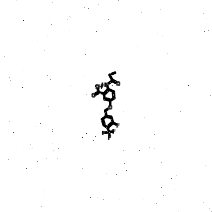 CCC(=O)Nc1ccc(OCc2ccc(C(F)(F)F)c(F)c2)cc1C(=O)O